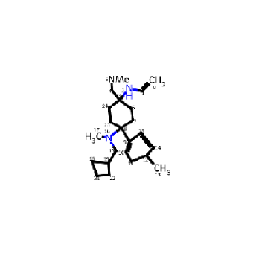 C=CNC1(CNC)CCC(C2=CCC(C)C=C2)(N(C)CC2CCC2)CC1